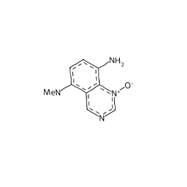 CNc1ccc(N)c2c1cnc[n+]2[O-]